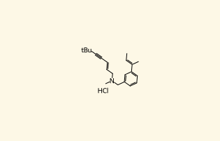 CC=C(C)c1cccc(CN(C)CC=CC#CC(C)(C)C)c1.Cl